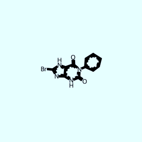 O=c1[nH]c2nc(Br)[nH]c2c(=O)n1-c1ccccc1